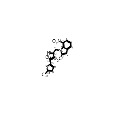 O=C(O)c1cc2cccc([N+](=O)[O-])c2n1Cc1cc(-c2ccc(Cl)s2)on1